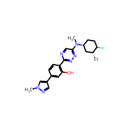 CC[C@@H]1C[C@@H](N(C)c2cnc(-c3ccc(-c4cnn(C)c4)cc3O)nn2)CC[C@H]1F